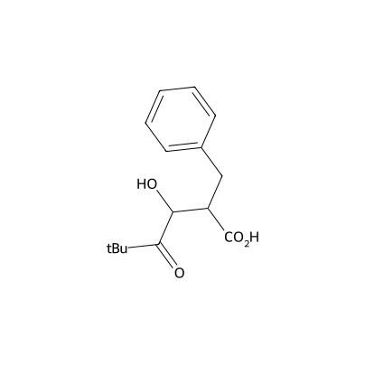 CC(C)(C)C(=O)C(O)C(Cc1ccccc1)C(=O)O